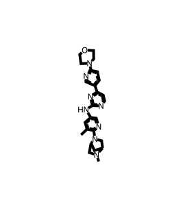 Cc1cc(Nc2nccc(-c3ccc(N4CCOCC4)nc3)n2)cnc1N1CC2CC1CN2C